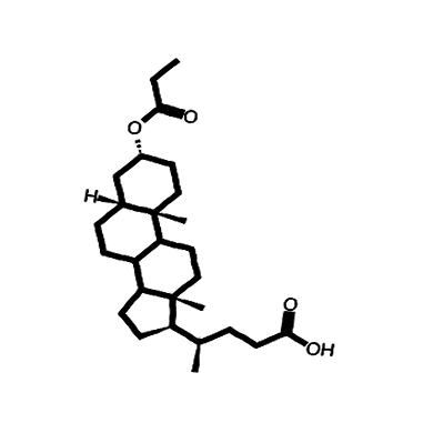 CCC(=O)O[C@@H]1CC[C@]2(C)C3CC[C@@]4(C)C(CC[C@@H]4[C@H](C)CCC(=O)O)C3CC[C@@H]2C1